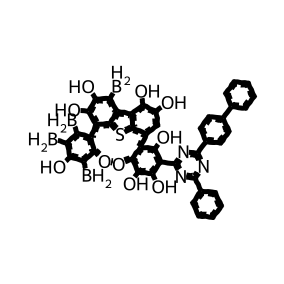 Bc1c(O)c(B)c2ooc3c(O)c(O)c(-c4nc(-c5ccccc5)nc(-c5ccc(-c6ccccc6)cc5)n4)c(O)c3c3cc(O)c(O)c4c3sc3c(c(O)c(O)c(B)c34)c2c1B